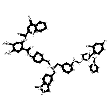 COc1cc(NC(=O)c2cc(=O)c3ccccc3o2)c(C(=O)Nc2ccc(CCN(Cc3cccc(OC[C@@H]4CO[C@@](Cn5ccnc5)(c5ccc(Cl)cc5Cl)O4)c3)Cc3ccc4c(cnn4C)c3)cc2)cc1OC